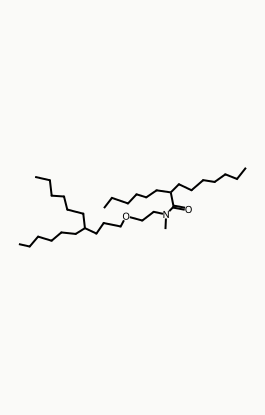 CCCCCCCC(CCCCCC)C(=O)N(C)CCOCCCC(CCCCCC)CCCCCC